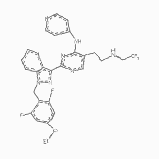 CCOc1cc(F)c(Cn2nc(-c3ncc(CCNCC(F)(F)F)c(Nc4ccncc4)n3)c3ccccc32)c(F)c1